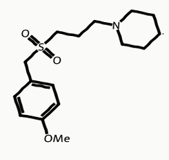 COc1ccc(CS(=O)(=O)CCCN2CC[CH]CC2)cc1